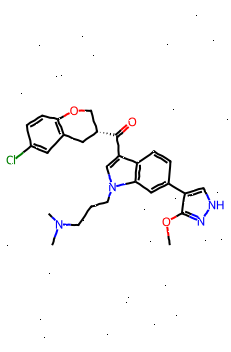 COc1n[nH]cc1-c1ccc2c(C(=O)[C@H]3COc4ccc(Cl)cc4C3)cn(CCCN(C)C)c2c1